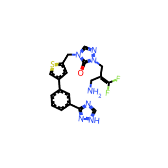 NCC(Cn1ncn(Cc2cc(-c3cccc(-c4nc[nH]n4)c3)cs2)c1=O)=C(F)F